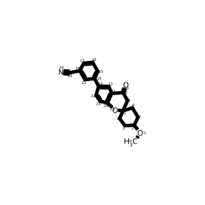 COC1CCC2(CC1)CC(=O)c1cc(-c3cccc(C#N)c3)ccc1O2